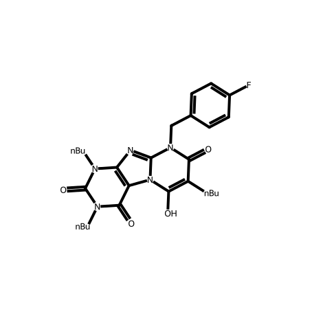 CCCCc1c(O)n2c3c(=O)n(CCCC)c(=O)n(CCCC)c3nc2n(Cc2ccc(F)cc2)c1=O